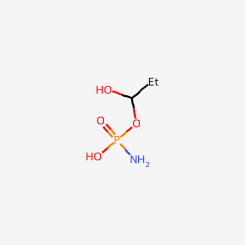 CCC(O)OP(N)(=O)O